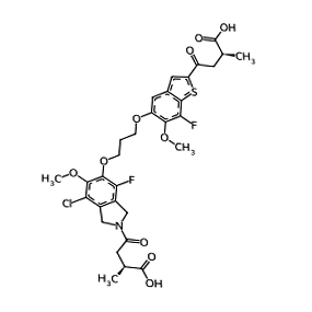 COc1c(Cl)c2c(c(F)c1OCCCOc1cc3cc(C(=O)C[C@H](C)C(=O)O)sc3c(F)c1OC)CN(C(=O)C[C@H](C)C(=O)O)C2